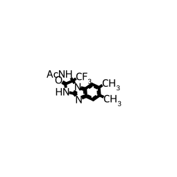 CC(=O)NC1(C(F)(F)F)C(=O)Nc2nc3cc(C)c(C)cc3n21